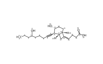 CCCC(O)CCCC#C[C@@H]1[C@H]2C/C(=C/CCC(=O)O)[C@H]2CC[C@H]1O